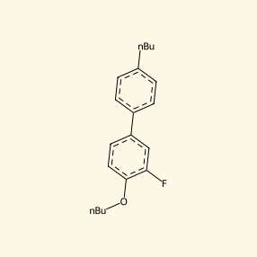 CCCCOc1ccc(-c2ccc(CCCC)cc2)cc1F